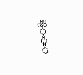 [NH]S(=O)(=O)c1ccc(N2CCN(c3ccccc3)CC2)cc1